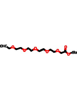 CC(C)(C)OC(=O)COCCOCCOCCOCCOCC=O